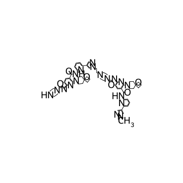 Cn1cc(-c2cccc(NC(=O)c3cc4oc(N5CCN(CCn6cc(-c7cccc(NC(=O)c8cc9oc(N%10CCNCC%10)nc9nc8N8CCC9(CCO9)CC8)n7)cn6)CC5)nc4nc3N3CCC4(CCO4)CC3)n2)cn1